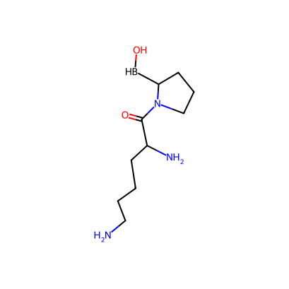 NCCCCC(N)C(=O)N1CCCC1BO